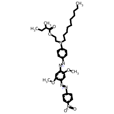 CCCCCCCCCCN(CCOC(=O)C(C)CC)c1ccc(/N=N/c2cc(OC)c(/N=N/c3ccc([N+](=O)[O-])cc3)cc2OC)cc1